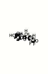 CCC(C)(C[C@H]1O[C@@H](c2cn3c(F)c(F)c(=O)[nH]c3nc2=S)[C@@H](O)C1O)OP(=O)(O)C(C)(O)CC